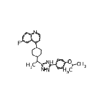 CC(C)Oc1ccc(-c2nnc([C@@H](C)C3CCC(c4ccnc5ccc(F)cc45)CC3)[nH]2)cc1